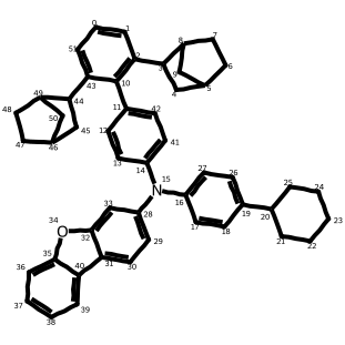 c1cc(C2CC3CCC2C3)c(-c2ccc(N(c3ccc(C4CCCCC4)cc3)c3ccc4c(c3)oc3ccccc34)cc2)c(C2CC3CCC2C3)c1